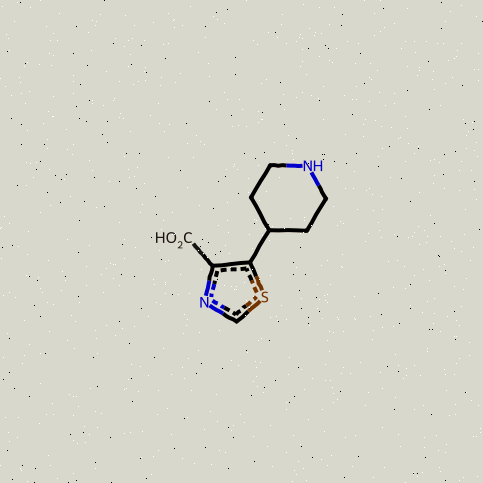 O=C(O)c1ncsc1C1CCNCC1